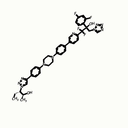 CC[C@@H]([C@H](C)O)n1cc(-c2ccc(N3CCN(c4ccc(-c5ccc(C(F)(F)C(O)(Cn6cnnn6)c6ccc(F)cc6F)nc5)cc4)CC3)cc2)nn1